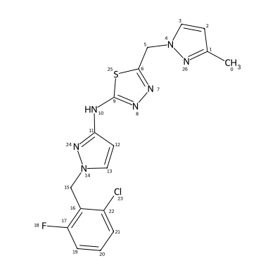 Cc1ccn(Cc2nnc(Nc3ccn(Cc4c(F)cccc4Cl)n3)s2)n1